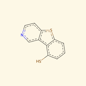 Sc1cccc2sc3ccncc3c12